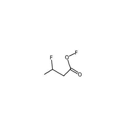 CC(F)CC(=O)OF